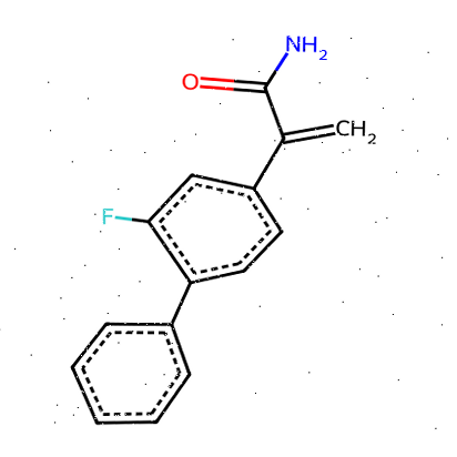 C=C(C(N)=O)c1ccc(-c2ccccc2)c(F)c1